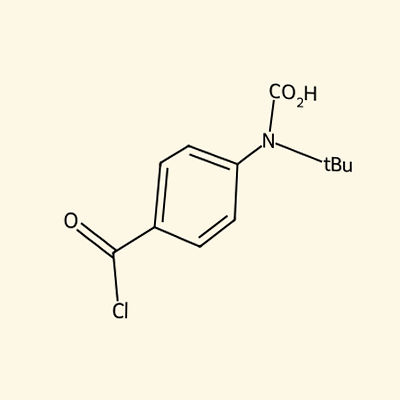 CC(C)(C)N(C(=O)O)c1ccc(C(=O)Cl)cc1